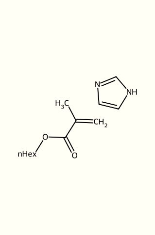 C=C(C)C(=O)OCCCCCC.c1c[nH]cn1